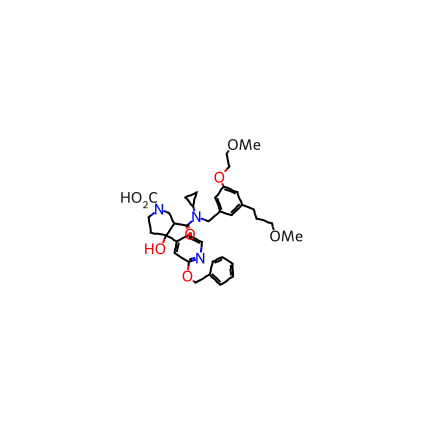 COCCCc1cc(CN(C(=O)C2CN(C(=O)O)CCC2(O)c2ccnc(OCc3ccccc3)c2)C2CC2)cc(OCCOC)c1